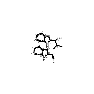 CC(C)C(O)c1cc2ccncc2[nH]1.O=Cc1cc2ccncc2[nH]1